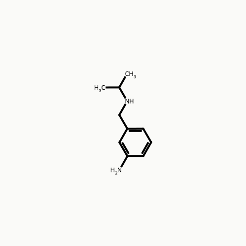 CC(C)NCc1cccc(N)c1